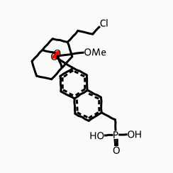 COC1(c2ccc3ccc(CP(=O)(O)O)cc3c2)OOC12C1CCCC2CC(CCCl)C1